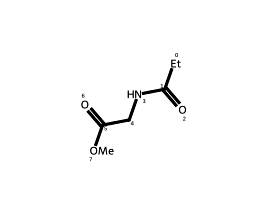 CCC(=O)NCC(=O)OC